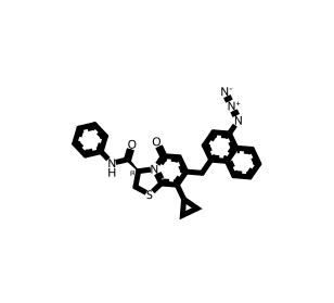 [N-]=[N+]=Nc1ccc(Cc2cc(=O)n3c(c2C2CC2)SC[C@H]3C(=O)Nc2ccccc2)c2ccccc12